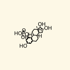 C[C@]12CC[C@@H]3c4c(cc(O)cc4OP(=O)(O)O)CC[C@H]3[C@@H]1C[C@@H](O)[C@@H]2O